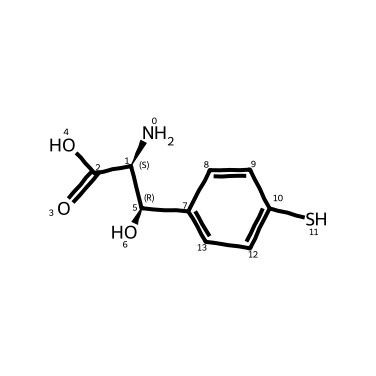 N[C@H](C(=O)O)[C@H](O)c1ccc(S)cc1